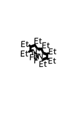 CCC1=C(CC)C(CC)=[N+]2C1=C(CC)c1c(CC)c(CC)c(CC)n1[B-]2(F)F